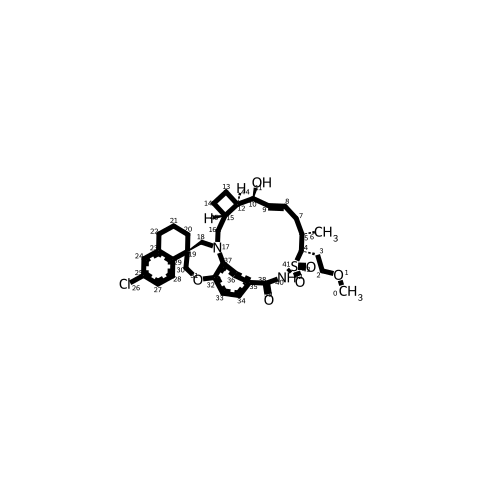 COCC[C@H]1[C@@H](C)C/C=C/[C@H](O)[C@@H]2CC[C@H]2CN2C[C@@]3(CCCc4cc(Cl)ccc43)COc3ccc(cc32)C(=O)NS1(=O)=O